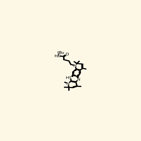 CC1=CC(C)(C)N(C)C2=C1N=c1cc3c(cc1=[SH]2)N(CCCC(=O)NC(C)(C)C)C(C)(C)C=C3C